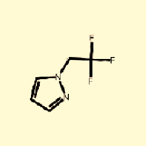 FC(F)(F)[CH]n1cccn1